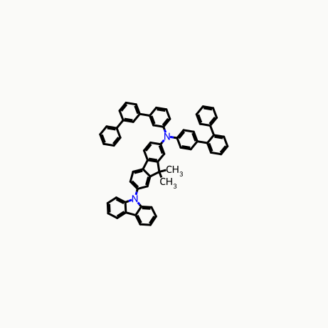 CC1(C)c2cc(N(c3ccc(-c4ccccc4-c4ccccc4)cc3)c3cccc(-c4cccc(-c5ccccc5)c4)c3)ccc2-c2ccc(-n3c4ccccc4c4ccccc43)cc21